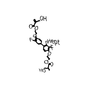 C=C(CO)C(=O)OCCOc1ccc(-c2ccc(OCCOC(=O)C(=C)CO)c(F)c2CCCCCCC)cc1F